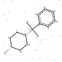 C[C@@H]1C[CH][C@H](C(C)(C)c2ccccc2)CC1